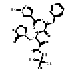 Cn1cc(C(=O)N[C@@H](Cc2ccccc2)C(=O)N[C@@H](C[C@@H]2CCNC2=O)C(=O)C(=O)NC(C)(C)C)cn1